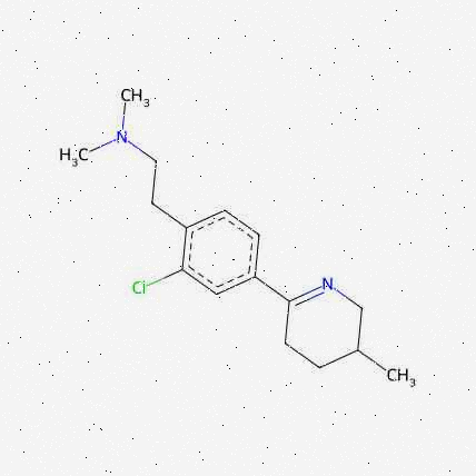 CC1CCC(c2ccc(CCN(C)C)c(Cl)c2)=NC1